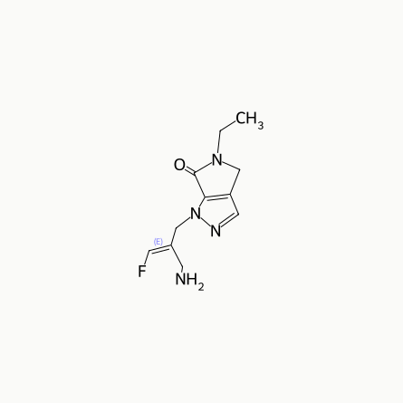 CCN1Cc2cnn(C/C(=C/F)CN)c2C1=O